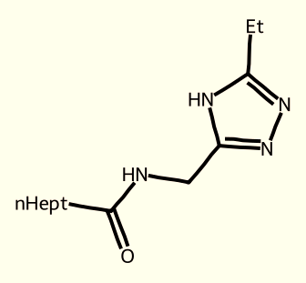 CCCCCCCC(=O)NCc1nnc(CC)[nH]1